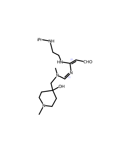 CC(C)NCCNC(=C/C=O)/N=C\N(C)CC1(O)CCN(C)CC1